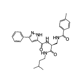 Cc1ccc(C(=O)NC[C@H](NC(=O)c2cc(-c3ccccc3)n[nH]2)C(=O)NCCC(C)C)cc1